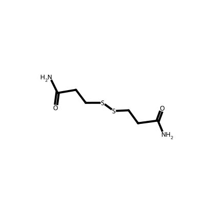 NC(=O)CCSSCCC(N)=O